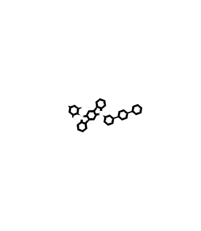 N#Cc1cc(C(F)(F)F)cc(C#N)c1-n1c2ccccc2c2cc3c(cc21)c1ccccc1n3-c1cccc(-c2ccc(-c3ccccc3)cc2)c1